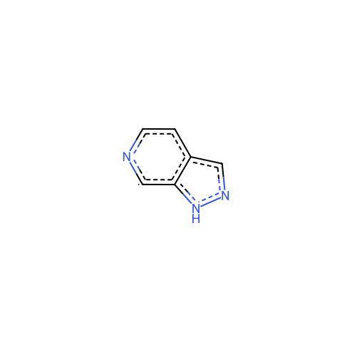 [c]1nccc2cn[nH]c12